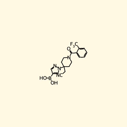 N#CCC1(n2cc(B(O)O)cn2)CCN(C(=O)c2ccccc2C(F)(F)F)CC1